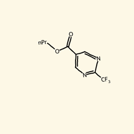 CCCOC(=O)c1cnc(C(F)(F)F)nc1